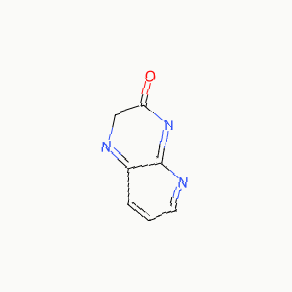 O=C1CN=c2cccnc2=N1